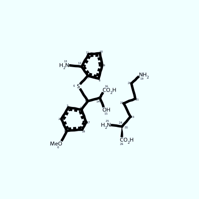 COc1ccc(C(Sc2ccccc2N)C(O)C(=O)O)cc1.NCCCC[C@H](N)C(=O)O